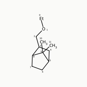 CCOCC1CC2CCC1C2(C)C